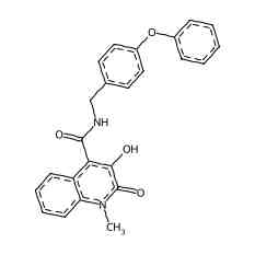 Cn1c(=O)c(O)c(C(=O)NCc2ccc(Oc3ccccc3)cc2)c2ccccc21